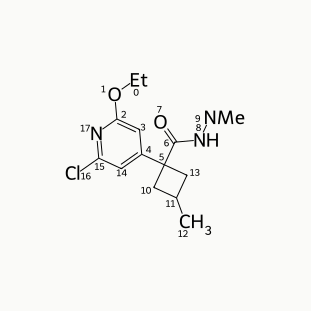 CCOc1cc(C2(C(=O)NNC)CC(C)C2)cc(Cl)n1